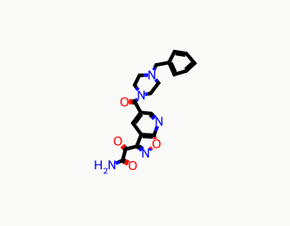 NC(=O)C(=O)c1noc2ncc(C(=O)N3CCN(Cc4ccccc4)CC3)cc12